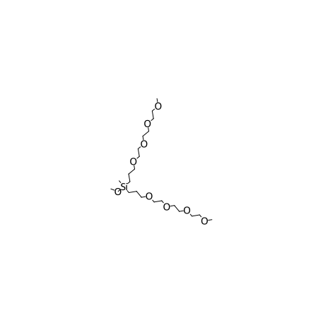 COCCOCCOCCOCCC[Si](C)(CCCOCCOCCOCCOC)OC